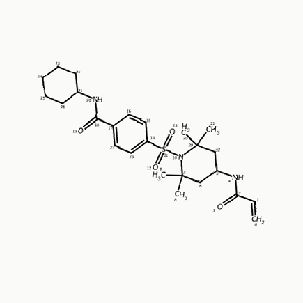 C=CC(=O)NC1CC(C)(C)N(S(=O)(=O)c2ccc(C(=O)NC3CCCCC3)cc2)C(C)(C)C1